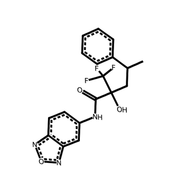 CC(CC(O)(C(=O)Nc1ccc2nonc2c1)C(F)(F)F)c1ccccc1